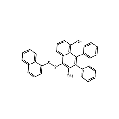 Oc1c(-c2ccccc2)c(-c2ccccc2)c2c(O)cccc2c1SSc1cccc2ccccc12